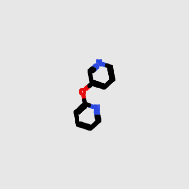 c1ccc(Oc2cccnc2)nc1